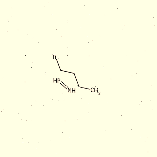 CCC[CH2][Ti].N=P